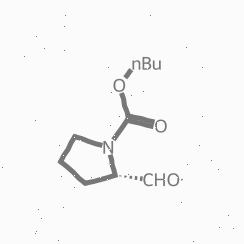 CCCCOC(=O)N1CCC[C@H]1[C]=O